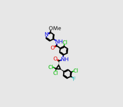 COc1cc(NC(=O)c2cc(NC(=O)[C@@H]3[C@@H](c4ccc(F)c(Cl)c4)C3(Cl)Cl)ccc2Cl)ccn1